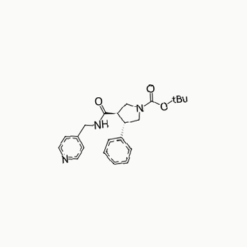 CC(C)(C)OC(=O)N1C[C@H](C(=O)NCc2ccncc2)[C@@H](c2ccccc2)C1